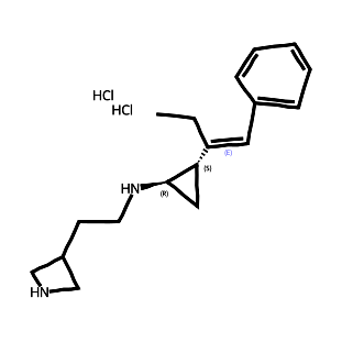 CC/C(=C\c1ccccc1)[C@@H]1C[C@H]1NCCC1CNC1.Cl.Cl